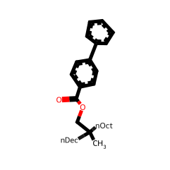 CCCCCCCCCCC(C)(CCCCCCCC)COC(=O)c1ccc(-c2ccccc2)cc1